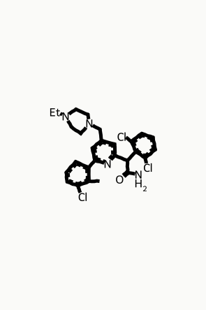 CCN1CCN(Cc2cc(-c3cccc(Cl)c3C)nc(C(C(N)=O)c3c(Cl)cccc3Cl)c2)CC1